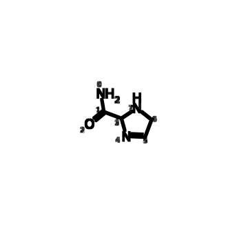 NC(=O)[C]1N=CCN1